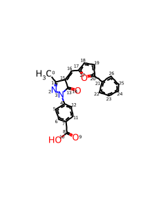 CC1=NN(c2ccc(C(=O)O)cc2)C(=O)/C1=C\c1ccc(-c2ccccc2)o1